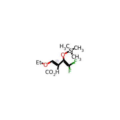 CCO/C=C(\C(=O)O)C(O[Si](C)(C)C)=C(F)F